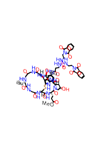 CC[C@H](C)[C@@H]1NCC(=O)CNC(=O)[C@@H]2Cc3c([nH]c4ccc(NC(=O)CCNP(=O)(NCCN5C(=O)C6C7C=CC(O7)C6C5=O)NCCN5C(=O)C6C7C=CC(O7)C6C5=O)cc34)SC[C@H](NC(=O)CNC1=O)C(=O)N[C@@H](CCC(=O)OC)C(=O)N1C[C@H](O)C[C@H]1C(=O)N[C@@H]([C@@H](C)CC)C(=O)N2